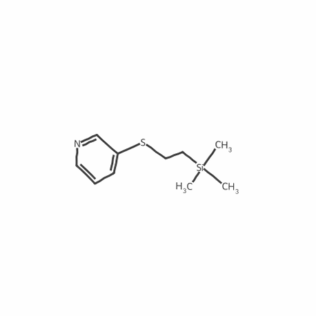 C[Si](C)(C)CCSc1cccnc1